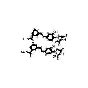 CNC(=O)c1cccc(CCc2ccc(N3CC(=O)NS3(=O)=O)c(O)c2)c1.NC(=O)c1cccc(CCc2ccc(N3CC(=O)NS3(=O)=O)c(O)c2)c1